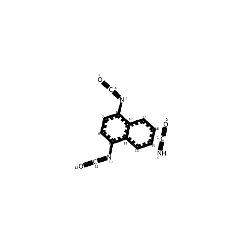 N=C=O.O=C=Nc1ccc(N=C=O)c2ccccc12